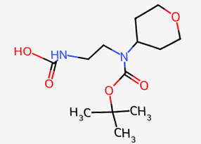 CC(C)(C)OC(=O)N(CCNC(=O)O)C1CCOCC1